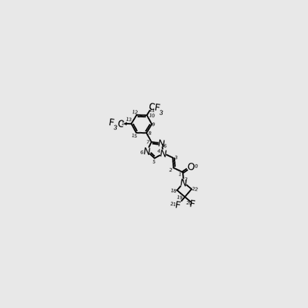 O=C(C=Cn1cnc(-c2cc(C(F)(F)F)cc(C(F)(F)F)c2)n1)N1CC(F)(F)C1